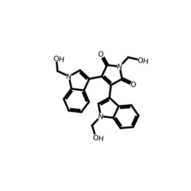 O=C1C(c2cn(CO)c3ccccc23)=C(c2cn(CO)c3ccccc23)C(=O)N1CO